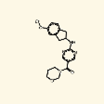 CCOc1ccc2c(c1)CC(Nc1ncc(C(=O)N3CCCOC3)cn1)C2